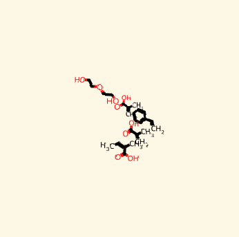 C=C(C)C(=O)O.C=C(C)C(=O)O.C=Cc1ccccc1.CC=C(C)C(=O)O.OCCOCCO